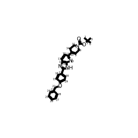 CC(C)(C)OC(=O)N1CC=C(c2ccc3nc(-c4ccc(OCc5ccccc5)cc4)[nH]c3n2)CC1